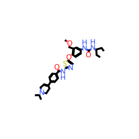 CCC(CC)NC(=O)Nc1ccc(Oc2cnc(NC(=O)c3ccc(C4=CCN(C(C)C)CC4)cc3)s2)c(COC)c1